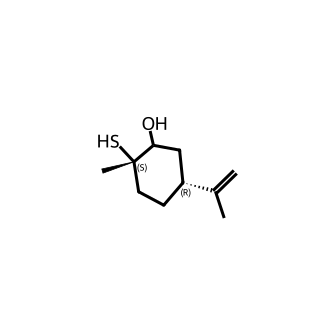 C=C(C)[C@@H]1CC[C@](C)(S)C(O)C1